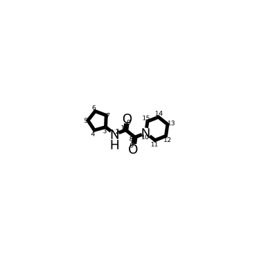 O=C(NC1CCCC1)C(=O)N1CCCCC1